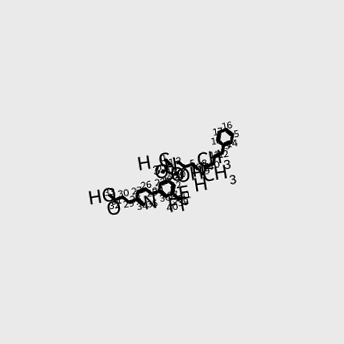 CN(CC(O)CNC(C)(C)CCCc1ccccc1)S(=O)(=O)c1cc(-c2ccc(CCC(=O)O)cn2)cc(C(F)(F)F)c1